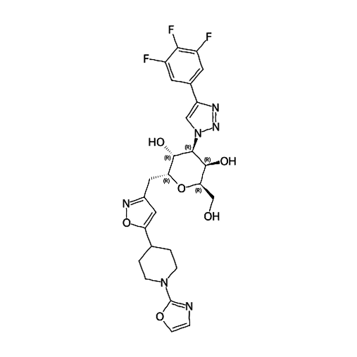 OC[C@H]1O[C@H](Cc2cc(C3CCN(c4ncco4)CC3)on2)[C@H](O)[C@@H](n2cc(-c3cc(F)c(F)c(F)c3)nn2)[C@H]1O